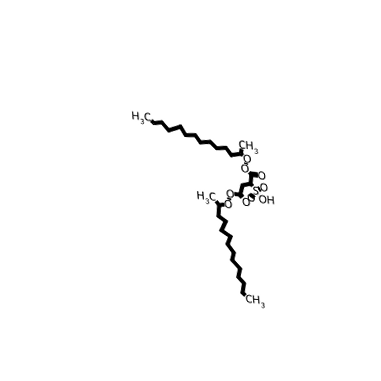 CCCCCCCCCCCCC(C)OOC(=O)CC(C(=O)OOC(C)CCCCCCCCCCCC)S(=O)(=O)O